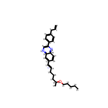 C=CCc1ccc(-c2cnc3cc(/C=C/CCCC(C)OCCCCC)ccc3n2)cc1